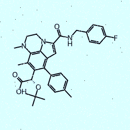 Cc1ccc(-c2c([C@H](OC(C)(C)C)C(=O)O)c(C)c3c4c2cc(C(=O)NCc2ccc(F)cc2)n4CCN3C)cc1